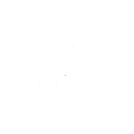 c1ccc(-c2ccn(C3CCCCC3)c2)cc1